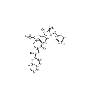 CCN1CCN(CC(O)C2Cc3ccccc3CN2)C(=O)c2ccc(C(=O)N(C)CCc3ccc(F)cc3)cc21.Cl